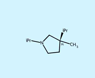 CC(C)N1CC[C@](C)(C(C)C)C1